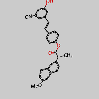 COc1ccc2cc([C@@H](C)C(=O)Oc3ccc(/C=C/c4cc(O)cc(N=O)c4)cc3)ccc2c1